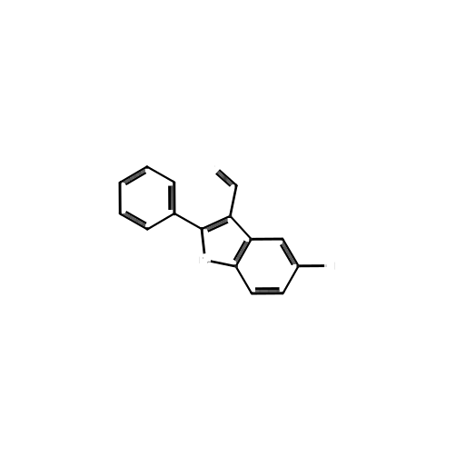 O=Cc1c(-c2ccccc2)[nH]c2ccc(Cl)cc12